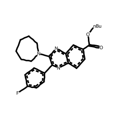 CCCCOC(=O)c1ccc2nc(-c3ccc(F)cc3)c(N3CCCCCC3)nc2c1